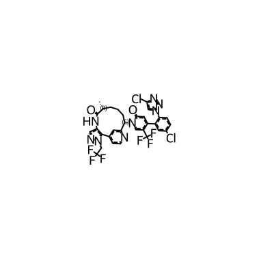 C[C@@H]1CCC[C@H](n2cc(C(F)(F)F)c(-c3cc(Cl)ccc3-n3cc(Cl)nn3)cc2=O)c2cc(ccn2)-c2c(cnn2CC(F)(F)F)NC1=O